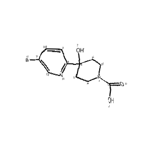 O=C(O)N1CCC(O)(c2ccc(Br)cn2)CC1